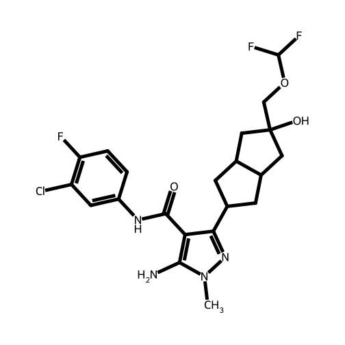 Cn1nc(C2CC3CC(O)(COC(F)F)CC3C2)c(C(=O)Nc2ccc(F)c(Cl)c2)c1N